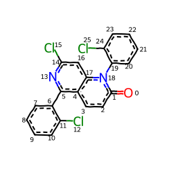 O=c1ccc2c(-c3ccccc3Cl)nc(Cl)cc2n1-c1ccccc1Cl